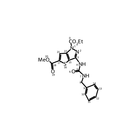 CCOC(=O)n1nc(NC(=O)NCc2ccccc2)c2sc(C(=O)OC)cc21